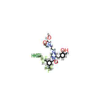 COC[C@@H]1CN(CCCN2CCN(C(=O)c3cc(C(F)(F)F)cc(C(F)(F)F)c3)[C@H](Cc3ccc(C)c(O)c3)C2)CCO1.Cl.Cl